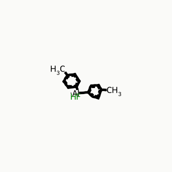 Cc1cc[c]([Al][c]2ccc(C)cc2)cc1.F